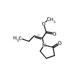 CC/C=C(/C(=O)OC)N1CCCC1=O